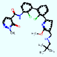 COc1nc(-c2cccc(-c3cccc(NC(=O)c4ccnn(C)c4=O)c3Cl)c2Cl)ccc1CNCC(C)(C)C